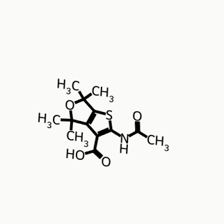 CC(=O)Nc1sc2c(c1C(=O)O)C(C)(C)OC2(C)C